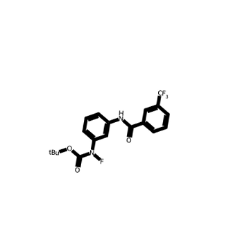 CC(C)(C)OC(=O)N(F)c1cccc(NC(=O)c2cccc(C(F)(F)F)c2)c1